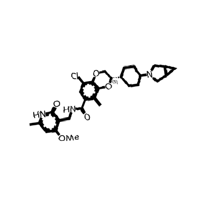 COc1cc(C)[nH]c(=O)c1CNC(=O)c1cc(Cl)c2c(c1C)O[C@@H](C1CCC(N3CC4CC4C3)CC1)CO2